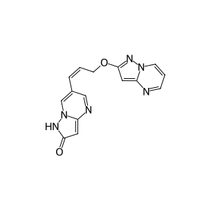 O=c1cc2ncc(/C=C\COc3cc4ncccn4n3)cn2[nH]1